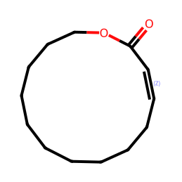 O=C1/C=C\CCCCCCCCCCO1